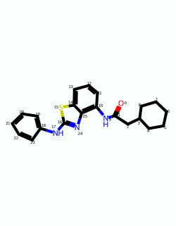 O=C(CC1CCCCC1)Nc1cccc2sc(Nc3ccccc3)nc12